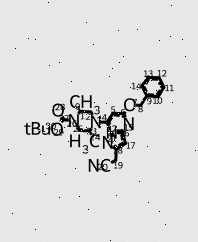 C[C@@H]1CN(c2cc(OCc3ccccc3)nc3cc(CC#N)nn23)[C@@H](C)CN1C(=O)OC(C)(C)C